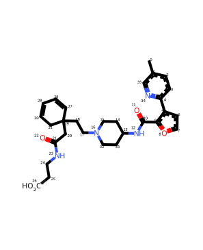 Cc1ccc(-c2ccoc2C(=O)NC2CCN(CCC3(CC(=O)NCCC(=O)O)C=CC=CC3)CC2)nc1